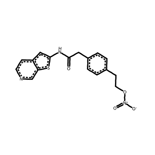 O=C(Cc1ccc(CCO[N+](=O)[O-])cc1)Nc1cc2ccncc2s1